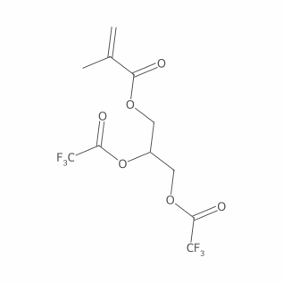 C=C(C)C(=O)OCC(COC(=O)C(F)(F)F)OC(=O)C(F)(F)F